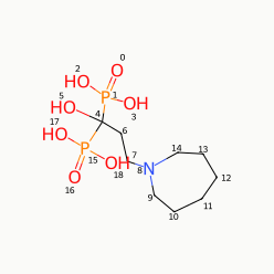 O=P(O)(O)C(O)(CCN1CCCCCC1)P(=O)(O)O